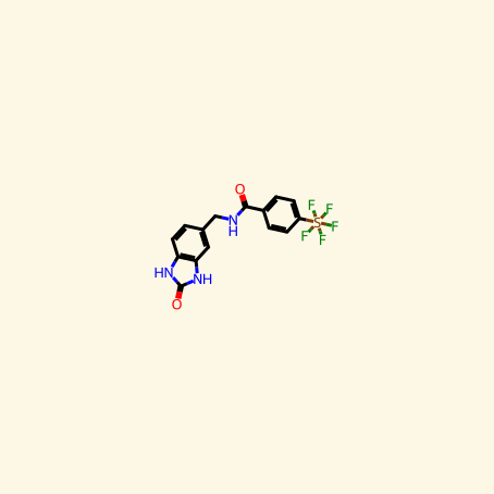 O=C(NCc1ccc2[nH]c(=O)[nH]c2c1)c1ccc(S(F)(F)(F)(F)F)cc1